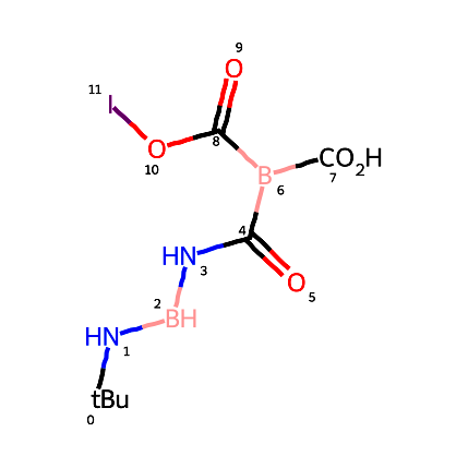 CC(C)(C)NBNC(=O)B(C(=O)O)C(=O)OI